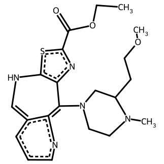 CCOC(=O)c1nc2c(s1)NC=c1cccnc1=C2N1CCN(C)C(CCOC)C1